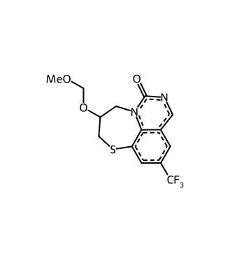 COCOC1CSc2cc(C(F)(F)F)cc3cnc(=O)n(c23)C1